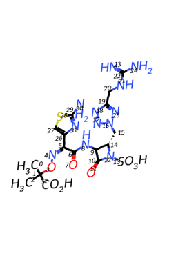 CC(C)(O/N=C(\C(=O)NC1C(=O)N(S(=O)(=O)O)[C@H]1Cn1nnc(CNC(=N)N)n1)c1csc(N)n1)C(=O)O